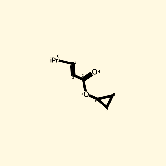 CC(C)C=CC(=O)OC1CC1